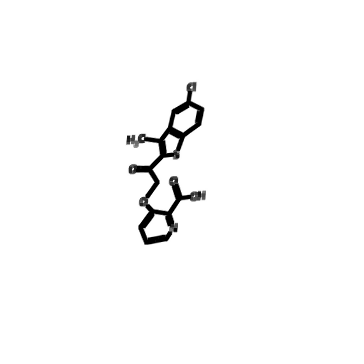 Cc1c(C(=O)COc2cccnc2C(=O)O)sc2ccc(Cl)cc12